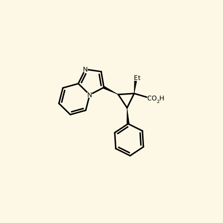 CC[C@]1(C(=O)O)[C@H](c2cnc3ccccn23)[C@@H]1c1ccccc1